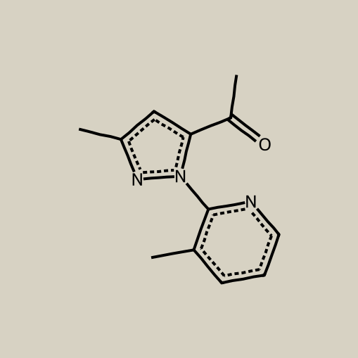 CC(=O)c1cc(C)nn1-c1ncccc1C